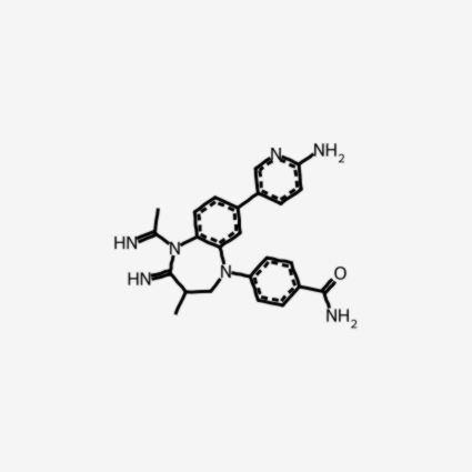 CC(=N)N1C(=N)C(C)CN(c2ccc(C(N)=O)cc2)c2cc(-c3ccc(N)nc3)ccc21